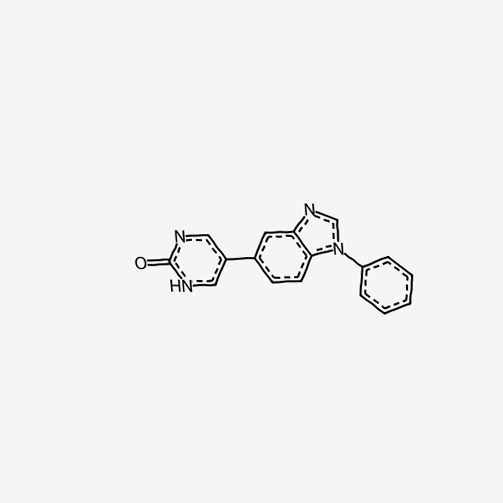 O=c1ncc(-c2ccc3c(c2)ncn3-c2ccccc2)c[nH]1